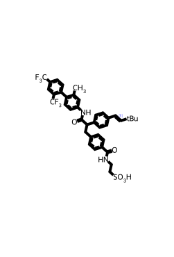 Cc1cc(NC(=O)C(Cc2ccc(C(=O)NCCS(=O)(=O)O)cc2)c2ccc(/C=C/C(C)(C)C)cc2)ccc1-c1ccc(C(F)(F)F)cc1C(F)(F)F